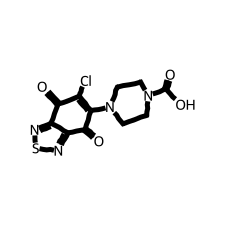 O=C1C(Cl)=C(N2CCN(C(=O)O)CC2)C(=O)c2nsnc21